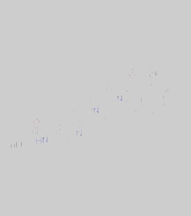 CCCC(=O)Nc1ccc(N2CCN(C(=O)c3ccccc3C(F)(F)F)CC2)nc1